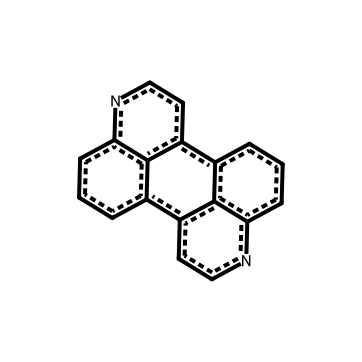 c1cc2nccc3c4cccc5nccc(c(c1)c23)c54